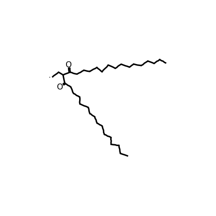 [CH2]CC(C(=O)CCCCCCCCCCCCCCC)C(=O)CCCCCCCCCCCCCCC